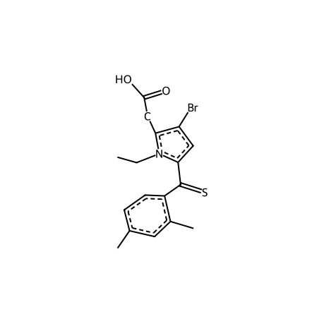 CCn1c(C(=S)c2ccc(C)cc2C)cc(Br)c1CC(=O)O